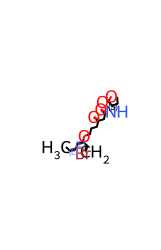 C=C/C(=C\C(Br)=C/C)OCCCC(=O)CC(=O)N[C@H]1CCOC1=O